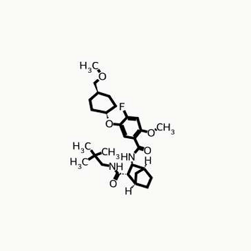 COC[C@H]1CC[C@H](Oc2cc(C(=O)N[C@@H]3[C@H]4CC[C@H](C4)[C@@H]3C(=O)NCC(C)(C)C)c(OC)cc2F)CC1